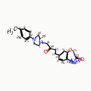 Cc1ccc(N2CCN(CC(=O)CCc3ccc4c(c3)OCC(=O)N4)CC2)cc1